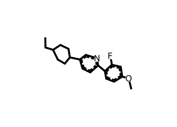 CCC1CCC(c2ccc(-c3ccc(OC)cc3F)nc2)CC1